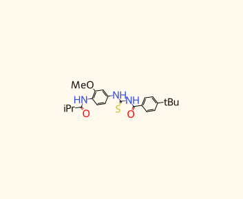 COc1cc(NC(=S)NC(=O)c2ccc(C(C)(C)C)cc2)ccc1NC(=O)C(C)C